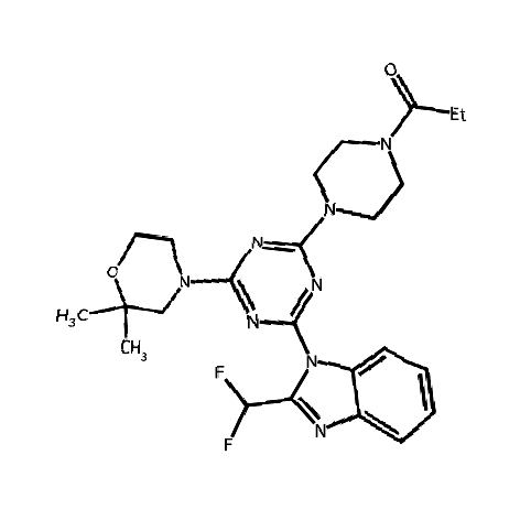 CCC(=O)N1CCN(c2nc(N3CCOC(C)(C)C3)nc(-n3c(C(F)F)nc4ccccc43)n2)CC1